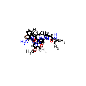 CCCc1c([C@@]2(C)CCCc3sc(N)c(C#N)c32)noc1-c1nc(O[C@@H](C)[C@@H]2[C@@H](OC)CCN2C)cc(-n2ccc(CC(=O)NC(C)C)n2)n1